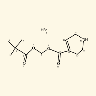 Br.CC(C)(C)C(=O)OCOC(=O)C1=CCNCC1